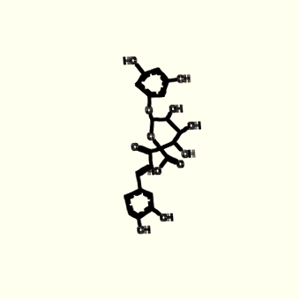 O=C(O)C1(C(=O)C=Cc2ccc(O)c(O)c2)OC(Oc2cc(O)cc(O)c2)C(O)C(O)C1O